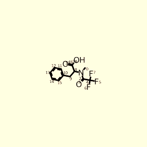 CN(C(=O)C(F)(F)F)C(Cc1ccccc1)C(=O)O